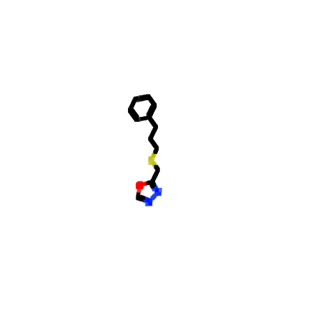 c1ccc(CCCSCc2nnco2)cc1